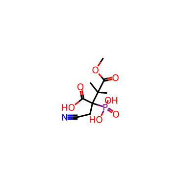 COC(=O)C(C)(C)C(CC#N)(C(=O)O)P(=O)(O)O